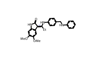 CC/C(Nc1ccc(CNc2ccccc2)cc1)=C1/C(=O)Nc2cc(OC)c(OC)cc21